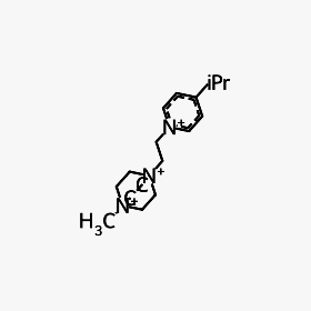 CC(C)c1cc[n+](CC[N+]23CC[N+](C)(CC2)CC3)cc1